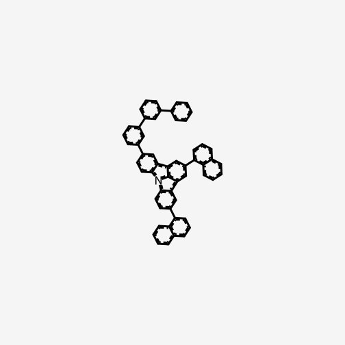 c1ccc(-c2cccc(-c3cccc(-c4ccc5c(c4)c4cc(-c6cccc7ccccc67)cc6c7cc(-c8cccc9ccccc89)ccc7n5c46)c3)c2)cc1